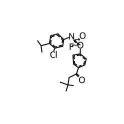 CC(C)c1ccc(N=S(=O)(F)Oc2ccc(C(=O)CC(C)(C)C)cc2)cc1Cl